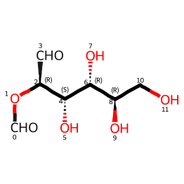 O=CO[C@@H](C=O)[C@@H](O)[C@H](O)[C@H](O)CO